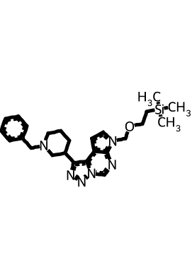 C[Si](C)(C)CCOCn1ccc2c1ncn1nnc(C3CCCN(Cc4ccccc4)C3)c21